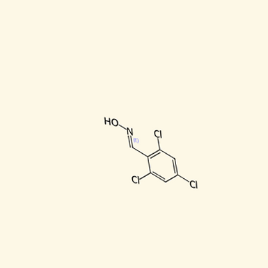 O/N=C/c1c(Cl)cc(Cl)cc1Cl